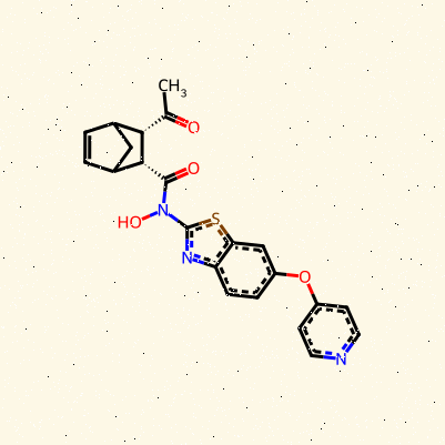 CC(=O)[C@H]1C2C=CC(C2)[C@H]1C(=O)N(O)c1nc2ccc(Oc3ccncc3)cc2s1